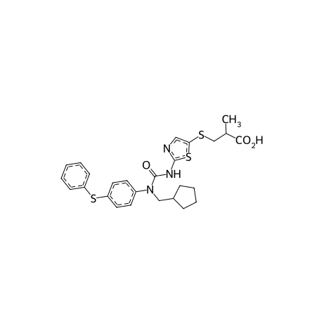 CC(CSc1cnc(NC(=O)N(CC2CCCC2)c2ccc(Sc3ccccc3)cc2)s1)C(=O)O